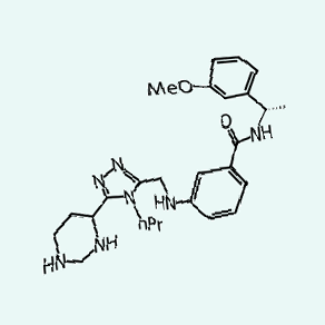 CCCn1c(CNc2cccc(C(=O)N[C@@H](C)c3cccc(OC)c3)c2)nnc1C1CCNCN1